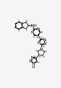 c1ccc2c(c1)CC(Nc1ncc(-c3nnc(N4CCC(c5c[nH]nn5)C4)o3)cn1)C2